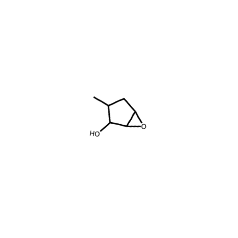 CC1CC2OC2C1O